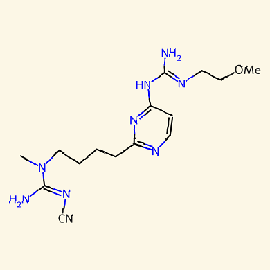 COCCN=C(N)Nc1ccnc(CCCCN(C)C(N)=NC#N)n1